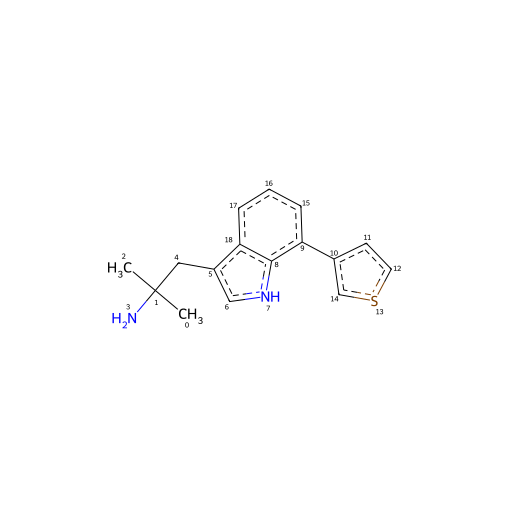 CC(C)(N)Cc1c[nH]c2c(-c3ccsc3)cccc12